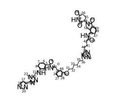 C[C@@H](NC(=O)c1cccc(NCc2nnc(-c3ccncn3)n2C)c1)c1cccc(OCCCCCCn2cc(CCCC(=O)Nc3cccc4c3CN(C3CCC(=O)NC3=O)C4=O)nn2)c1